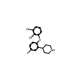 Fc1ccc(Sc2cccc(Cl)c2Cl)c(C2CCNCC2)c1